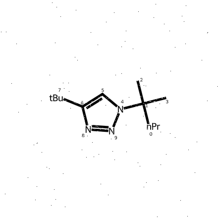 CCCC(C)(C)n1cc(C(C)(C)C)nn1